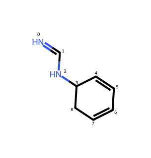 N=CNC1C=CC=CC1